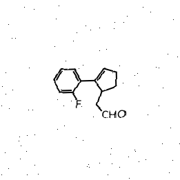 O=CCC1CCC=C1c1ccccc1F